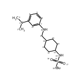 CN(C)c1cccc(NCC2CCC(NS(=O)(=O)C(C)(C)C)CC2)c1